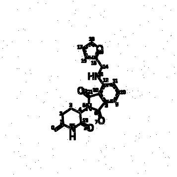 C=C1CCC(N2C(=O)c3cccc(NCc4ccco4)c3C2=O)C(=O)N1